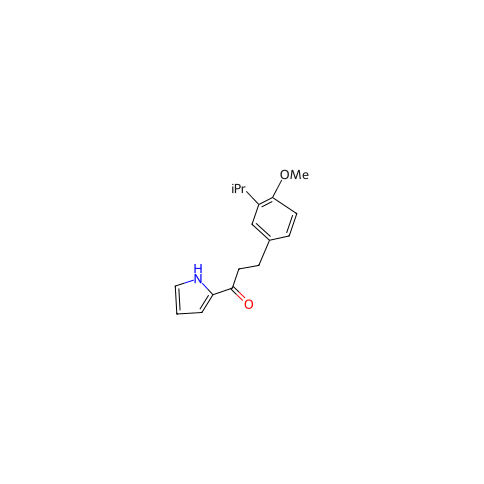 COc1ccc(CCC(=O)c2ccc[nH]2)cc1C(C)C